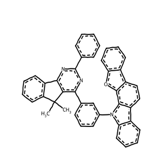 CC1(C)c2ccccc2-c2nc(-c3ccccc3)nc(-c3cccc(-n4c5ccccc5c5ccc6c7ccccc7oc6c54)c3)c21